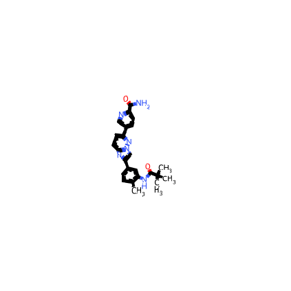 Cc1ccc(-c2cn3nc(-c4ccc(C(N)=O)nc4)ccc3n2)cc1NC(=O)C(C)(C)C